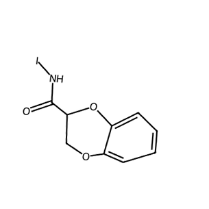 O=C(NI)C1COc2ccccc2O1